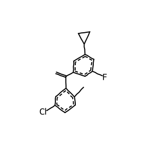 C=C(c1cc(F)cc(C2CC2)c1)c1cc(Cl)ccc1C